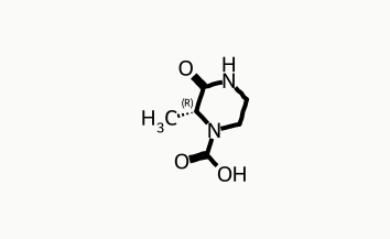 C[C@@H]1C(=O)NCCN1C(=O)O